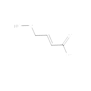 O=C(O)/C=C/COO